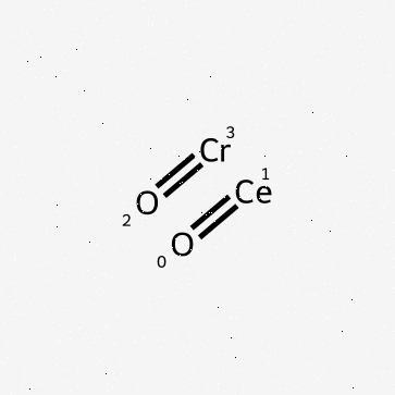 [O]=[Ce].[O]=[Cr]